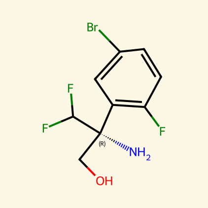 N[C@@](CO)(c1cc(Br)ccc1F)C(F)F